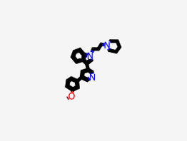 COc1cccc(-c2cncc(-c3cn(CCCN4CCCCC4)c4ccccc34)c2)c1